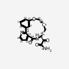 NC(=O)C(=O)[C@@H]1CCCCCOc2cccc(c2)-c2ncccc2C(=O)N1